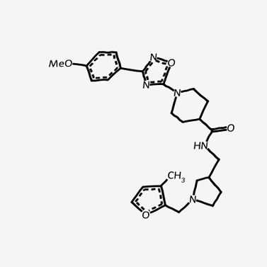 COc1ccc(-c2noc(N3CCC(C(=O)NCC4CCN(Cc5occc5C)C4)CC3)n2)cc1